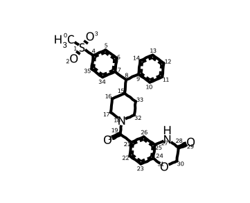 CS(=O)(=O)c1ccc(C(c2ccccc2)C2CCN(C(=O)c3ccc4c(c3)NC(=O)CO4)CC2)cc1